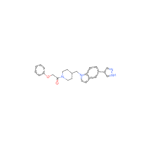 O=C(COc1ccccc1)N1CCC(Cn2ccc3cc(-c4cn[nH]c4)ccc32)CC1